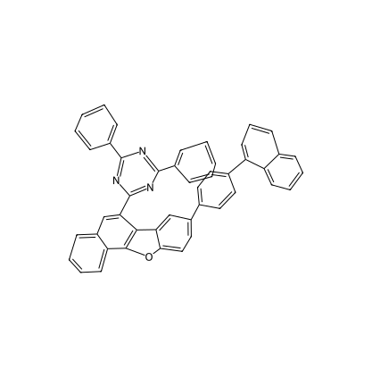 c1ccc(-c2nc(-c3ccccc3)nc(-c3cc4ccccc4c4oc5ccc(-c6ccc(-c7cccc8ccccc78)cc6)cc5c34)n2)cc1